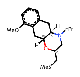 CCCN1C[C@@H](CSC)O[C@@H]2Cc3c(cccc3OC)C[C@H]21